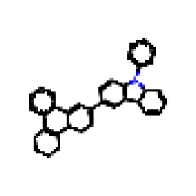 C1=CC2C3C=C(C4=CCC5C(=C4)c4ccccc4C4=C5CCCC4)C=CC3N(c3ccccc3)C2C=C1